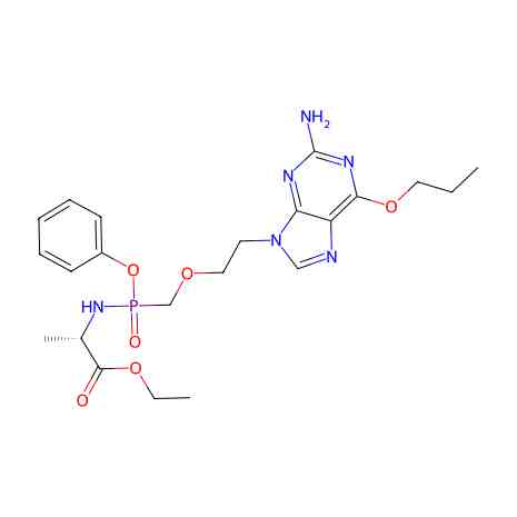 CCCOc1nc(N)nc2c1ncn2CCOCP(=O)(N[C@@H](C)C(=O)OCC)Oc1ccccc1